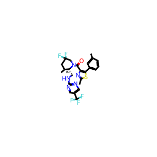 Cc1cccc(-c2sc(C)nc2C(=O)N2CC(F)(F)CC(C)[C@H]2CNc2ncc(C(F)(F)F)cn2)c1